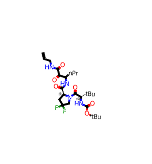 C=CCNC(=O)C(=O)C(CCC)NC(=O)[C@@H]1CC(F)(F)CN1C(=O)[C@@H](NC(=O)OC(C)(C)C)C(C)(C)C